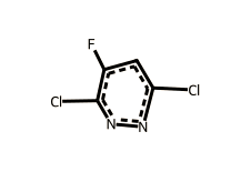 Fc1cc(Cl)nnc1Cl